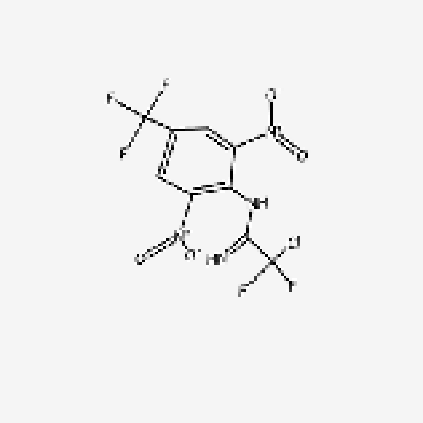 N=C(Nc1c([N+](=O)[O-])cc(C(F)(F)F)cc1[N+](=O)[O-])C(F)(F)Cl